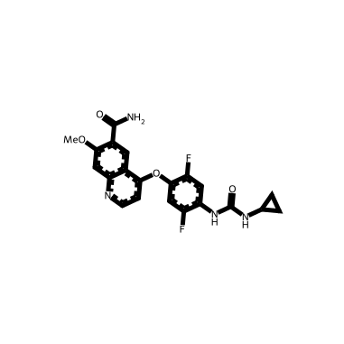 COc1cc2nccc(Oc3cc(F)c(NC(=O)NC4CC4)cc3F)c2cc1C(N)=O